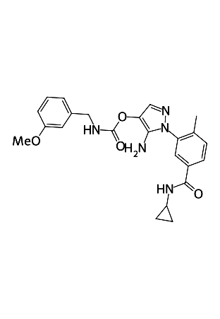 COc1cccc(CNC(=O)Oc2cnn(-c3cc(C(=O)NC4CC4)ccc3C)c2N)c1